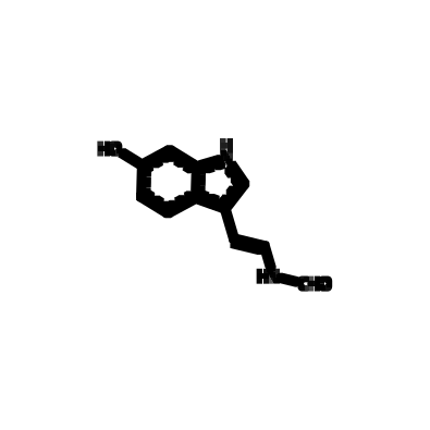 O=CNC=Cc1c[nH]c2cc(O)ccc12